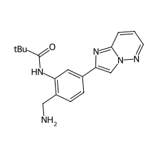 CC(C)(C)C(=O)Nc1cc(-c2cn3ncccc3n2)ccc1CN